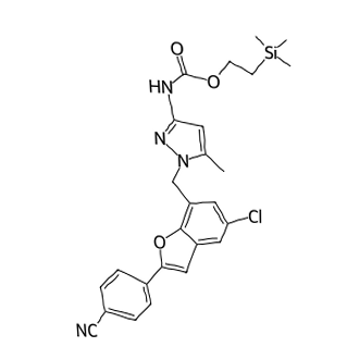 Cc1cc(NC(=O)OCC[Si](C)(C)C)nn1Cc1cc(Cl)cc2cc(-c3ccc(C#N)cc3)oc12